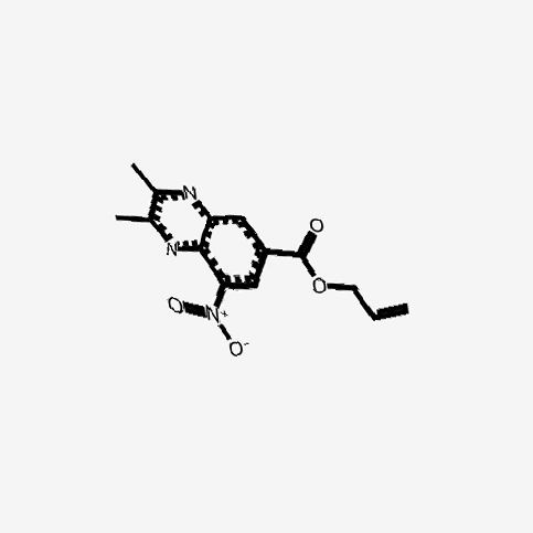 C=CCOC(=O)c1cc([N+](=O)[O-])c2nc(C)c(C)nc2c1